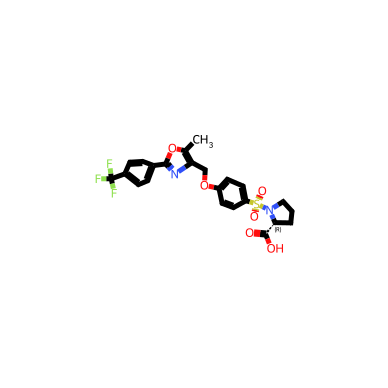 Cc1oc(-c2ccc(C(F)(F)F)cc2)nc1COc1ccc(S(=O)(=O)N2CCC[C@@H]2C(=O)O)cc1